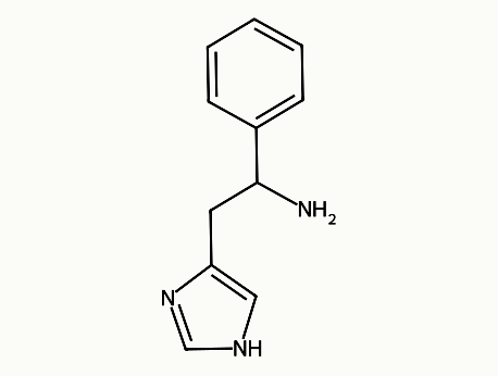 NC(Cc1c[nH]cn1)c1ccccc1